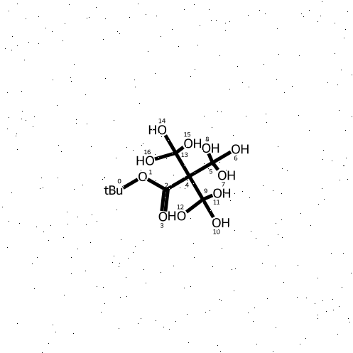 CC(C)(C)OC(=O)C(C(O)(O)O)(C(O)(O)O)C(O)(O)O